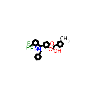 Cc1cccc(C(Oc2ccc(-c3c4cccc(C(F)(F)F)c4nn3Cc3ccccc3)cc2)C(=O)O)c1